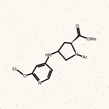 CCOc1cc(NC2C[C@@H](C(=O)OC)N(C(C)=O)C2)ccn1